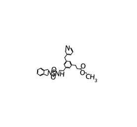 CCOC(=O)CCc1cc(CCNS(=O)(=O)N2Cc3ccccc3C2)cc(Cc2cccnc2)c1